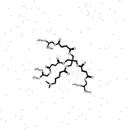 CCCCCC(CCCCC)COC(=O)CCC(=O)OCC(COC(=O)CCCCN(C)C)(COC(=O)CCC(=O)OCC(CCCCC)CCCCC)COC(=O)CCC(=O)OCC(CCCCC)CCCCC